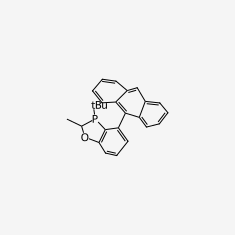 CC1Oc2cccc(-c3c4ccccc4cc4ccccc34)c2P1C(C)(C)C